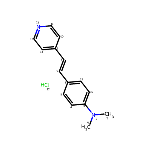 CN(C)c1ccc(C=Cc2ccncc2)cc1.Cl